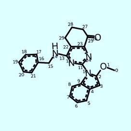 COc1cc2ccccc2n1-c1nc(NCc2ccccc2)c2c(n1)C(=O)CCC2